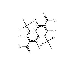 O=C(O)c1c(F)c(C(F)(F)F)c2c(F)c(C(=O)O)c(F)c(C(F)(F)F)c2c1F